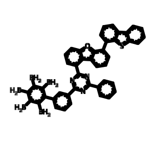 Bc1c(B)c(B)c(-c2cccc(-c3nc(-c4ccccc4)nc(-c4cccc5oc6c(-c7cccc8c7sc7ccccc78)cccc6c45)n3)c2)c(B)c1B